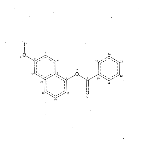 COc1ccc2c(OC(=O)c3ccccc3)cccc2c1